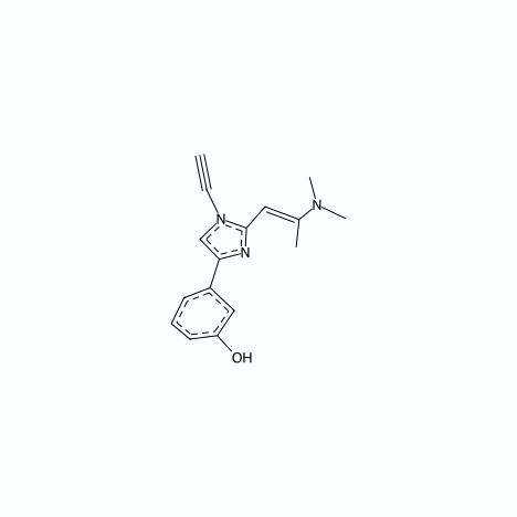 C#Cn1cc(-c2cccc(O)c2)nc1/C=C(\C)N(C)C